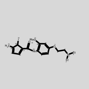 CCN(CC)CCOc1ccc(NC(=O)C2=CC=C(C)C2I)c(OC)c1